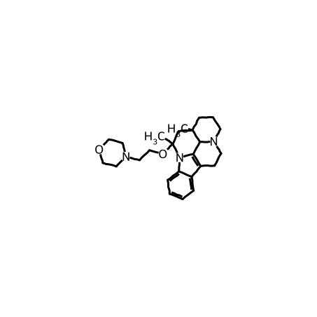 CC12CCCN3CCc4c(n(c5ccccc45)C(C)(OCCN4CCOCC4)C1)C32